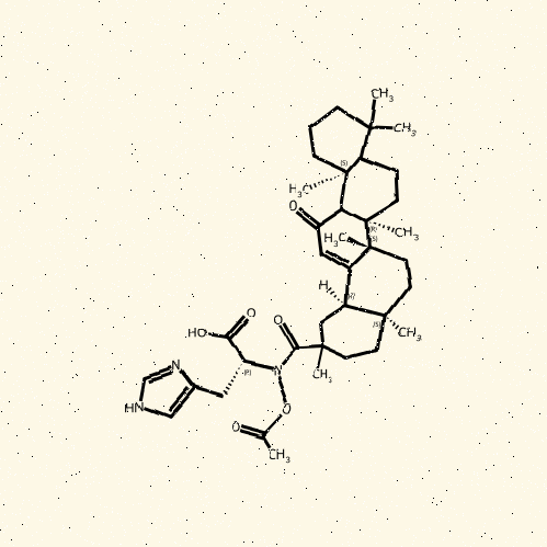 CC(=O)ON(C(=O)C1(C)CC[C@]2(C)CC[C@]3(C)C(=CC(=O)C4[C@@]5(C)CCCC(C)(C)C5CC[C@]43C)[C@@H]2C1)[C@H](Cc1c[nH]cn1)C(=O)O